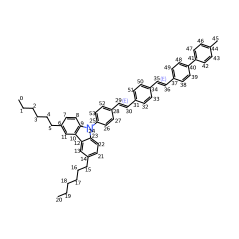 CCCCCCc1ccc2c(c1)c1cc(CCCCCC)ccc1n2-c1ccc(/C=C/c2ccc(/C=C/c3ccc(-c4ccc(C)cc4)cc3)cc2)cc1